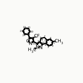 Cc1ccc2c(c1)CCc1c-2nn(C)c1-c1noc(-c2ccccc2)c1C(F)(F)F